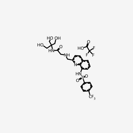 O=C(CNCc1ccc2cccc(NS(=O)(=O)c3ccc(C(F)(F)F)cc3)c2n1)NC(CO)(CO)CO.O=C(O)C(F)(F)F